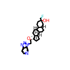 C[C@]12CC[C@H]3[C@@H](CC[C@H]4C[C@@](O)(CF)CC[C@@H]43)[C@@H]1CC[C@@H]2C(=O)Cn1nnc2ccncc21